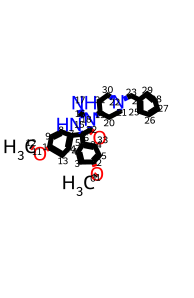 COc1ccc(C2(c3ccc(OC)cc3)NC(=N)N(C3CCN(Cc4ccccc4)CC3)C2=O)cc1